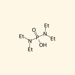 CCN(CC)P(=O)(O)N(CC)CC